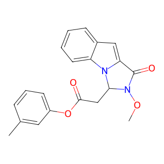 CON1C(=O)c2cc3ccccc3n2C1CC(=O)Oc1cccc(C)c1